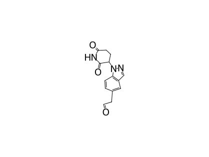 O=CCc1ccc2c(cnn2C2CCC(=O)NC2=O)c1